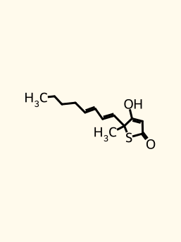 CCCC/C=C/C=C/C1(C)SC(=O)C=C1O